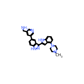 CN1CCN(c2cccc3[nH]c(-c4n[nH]c5ccc(-c6cncc(CN)c6)cc45)cc23)CC1